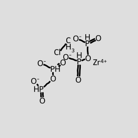 CCl.O=[PH]([O-])O[PH](=O)[O-].O=[PH]([O-])O[PH](=O)[O-].[Zr+4]